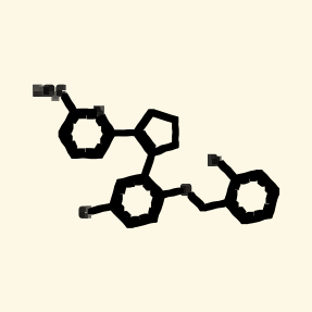 CCOC(=O)c1cccc(C2=C(c3cc(Cl)ccc3OCc3ccccc3Br)CCC2)n1